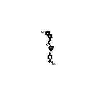 CC(C)(C)OC(=O)N1CCC(COc2ccc(OC(=O)CCc3ccc4ccc(C#N)cc4c3)cc2)CC1